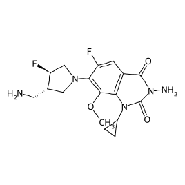 COc1c(N2C[C@H](CN)[C@@H](F)C2)c(F)cc2c(=O)n(N)c(=O)n(C3CC3)c12